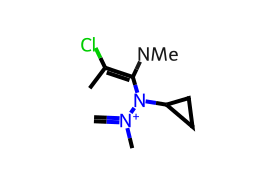 C=[N+](C)N(/C(NC)=C(\C)Cl)C1CC1